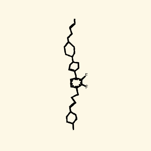 C/C=C/CCC1CCC(C2CC=C(c3ccc(CC/C=C/C4CCC(C)CC4)c(F)c3F)CC2)CC1